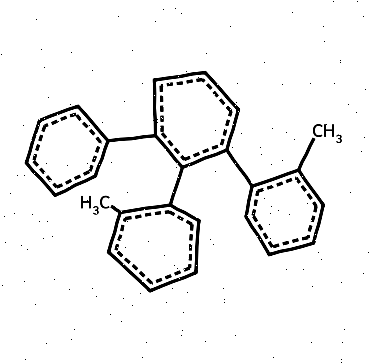 Cc1ccccc1-c1cccc(-c2ccccc2)c1-c1ccccc1C